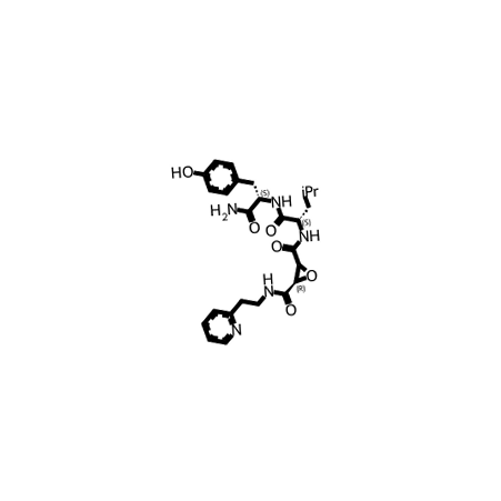 CC(C)C[C@H](NC(=O)C1O[C@H]1C(=O)NCCc1ccccn1)C(=O)N[C@@H](Cc1ccc(O)cc1)C(N)=O